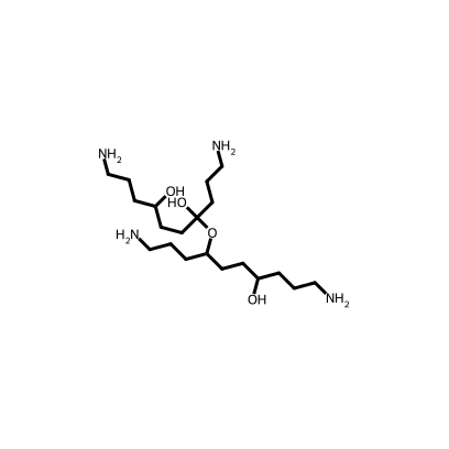 NCCCC(O)CCC(CCCN)OC(O)(CCCN)CCC(O)CCCN